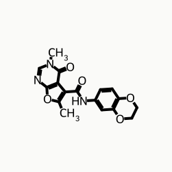 Cc1oc2ncn(C)c(=O)c2c1C(=O)Nc1ccc2c(c1)OCCO2